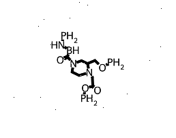 O=C(CN1CCN(C(=O)BNP)CC1COP)OP